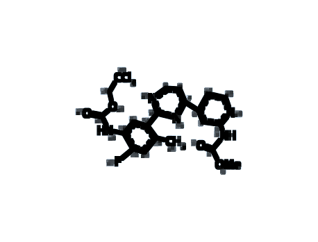 COC(=O)Nc1cc(-c2ccnc(-c3cc(NC(=O)OCC(Cl)(Cl)Cl)c(F)cc3C)n2)ccn1